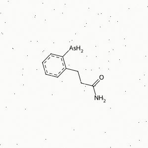 NC(=O)CCc1ccccc1[AsH2]